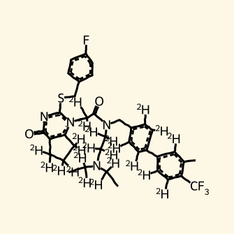 [2H]c1c([2H])c(-c2c([2H])c([2H])c(C(F)(F)F)c(C)c2[2H])c([2H])c([2H])c1CN(C(=O)C([2H])([2H])n1c(SCc2ccc(F)cc2)nc(=O)c2c1C([2H])([2H])C([2H])([2H])C2([2H])[2H])C([2H])([2H])C([2H])([2H])N(C([2H])([2H])C)C([2H])([2H])C